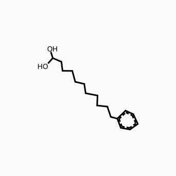 OC(O)CCCCCCCCCCc1ccccc1